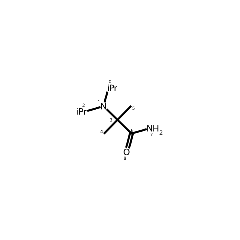 CC(C)N(C(C)C)C(C)(C)C(N)=O